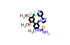 COc1cc(OC)c(C(F)(F)F)cc1-c1cc(C)c(NC(N)=O)cc1Cn1ccnc1-c1ccncc1